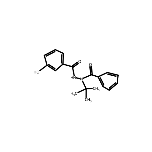 CC(C)(C)N(NC(=O)c1cccc(O)c1)C(=O)c1ccccc1